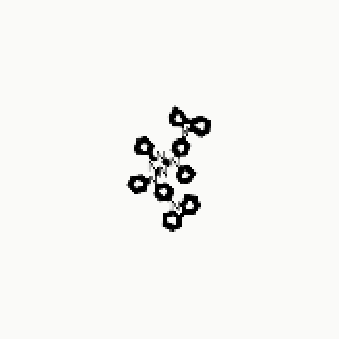 c1ccc(-c2nc(N(c3ccccc3)c3ccc(-n4c5ccccc5c5ccccc54)cc3)nc(N(c3ccccc3)c3ccc(-n4c5ccccc5c5ccccc54)cc3)n2)cc1